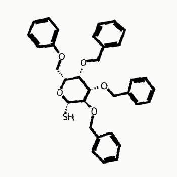 S[C@@H]1O[C@H](COc2ccccc2)[C@H](OCc2ccccc2)[C@H](OCc2ccccc2)[C@H]1OCc1ccccc1